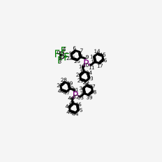 F[B-](F)(F)F.c1ccc(CP(Cc2ccccc2)Cc2ccccc2)cc1.c1ccc(CP(Cc2ccccc2)Cc2ccccc2)cc1